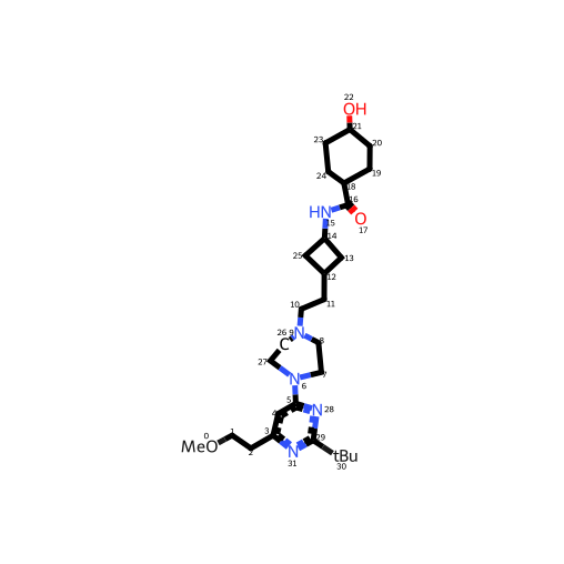 COCCc1cc(N2CCN(CCC3CC(NC(=O)C4CCC(O)CC4)C3)CC2)nc(C(C)(C)C)n1